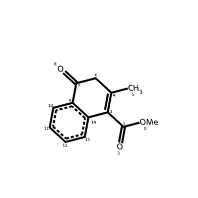 COC(=O)C1=C(C)CC(=O)c2ccccc21